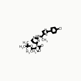 C[C@H](Nc1nccc(N2C(=O)OC[C@@H]2[C@H](C)OC(C)(C)C)n1)c1cnc(-c2ccc(Cl)cc2)s1